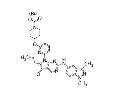 C=CCn1c(=O)c2cnc(Nc3ccc4c(c3)c(C)nn4C)nc2n1-c1cccc(OC2CCN(C(=O)OC(C)(C)C)CC2)n1